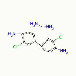 NCN.Nc1ccc(-c2ccc(N)c(Cl)c2)cc1Cl